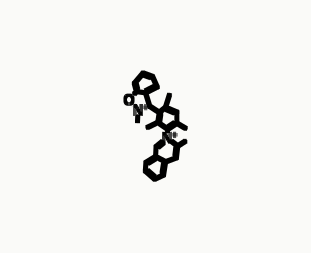 Cc1cc(C)c(-[n+]2cc3ccccc3cc2C)c(C)c1-c1c2ccccc2o[n+]1C